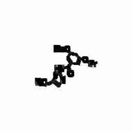 CC(C)COc1cc(OC(C)C)cc(C(=O)Nc2ncc(CC#N)s2)c1